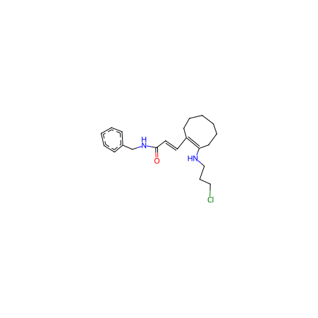 O=C(/C=C/C1=C(\NCCCCl)CCCCCC1)NCc1ccccc1